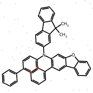 CC1(C)c2ccccc2-c2ccc(N(c3ccc(-c4ccccc4)cc3)c3cc4oc5ccccc5c4cc3-c3ccccc3)cc21